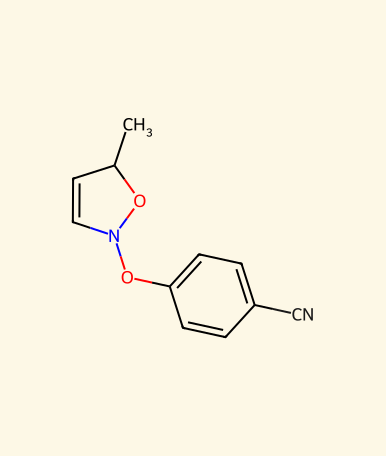 CC1C=CN(Oc2ccc(C#N)cc2)O1